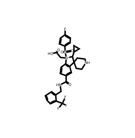 O=C(O)C[N+]1(S(=O)(=O)c2ccc(F)cc2)c2ccc(C(=O)NCc3ccccc3C(F)(F)F)cc2C2(CCNCC2)C1C1CC1